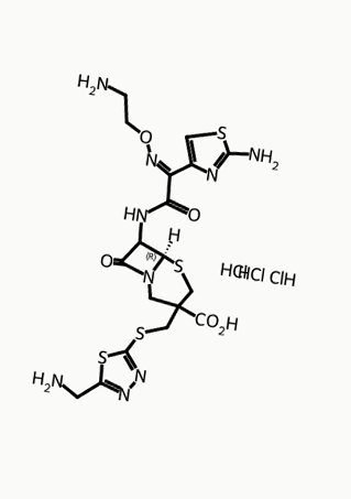 Cl.Cl.Cl.NCCON=C(C(=O)NC1C(=O)N2CC(CSc3nnc(CN)s3)(C(=O)O)CS[C@H]12)c1csc(N)n1